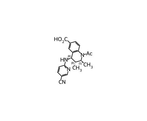 CC(=O)N1c2ccc(C(=O)O)cc2[C@H](Nc2ccc(C#N)cn2)[C@@H](C)[C@@H]1C